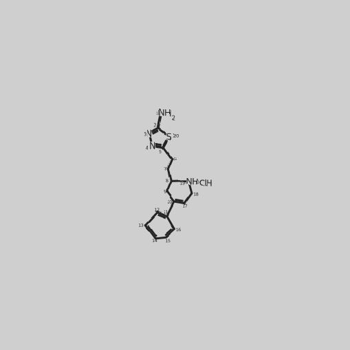 Cl.Nc1nnc(CCC2CC(c3ccccc3)=CCN2)s1